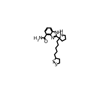 NC(=O)c1cccc2[nH]c(C3(CCCCCC4CCSS4)CCCN3)nc12